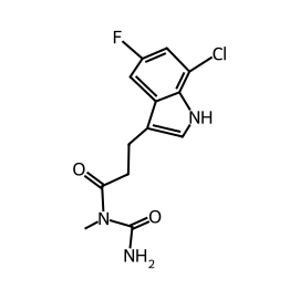 CN(C(N)=O)C(=O)CCc1c[nH]c2c(Cl)cc(F)cc12